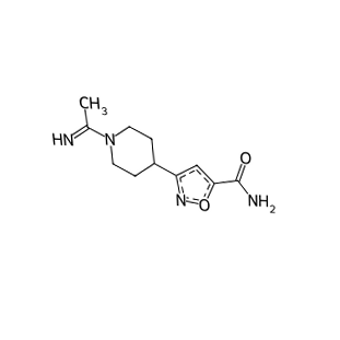 CC(=N)N1CCC(c2cc(C(N)=O)on2)CC1